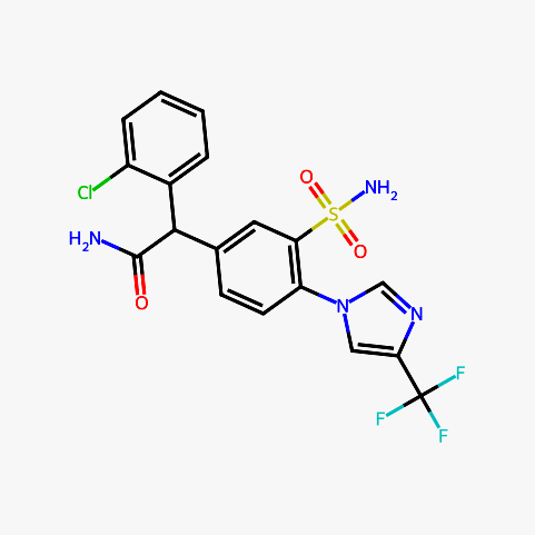 NC(=O)C(c1ccc(-n2cnc(C(F)(F)F)c2)c(S(N)(=O)=O)c1)c1ccccc1Cl